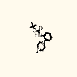 CN1CCN(c2ccccc2NC(=O)OC(C)(C)C)CC1